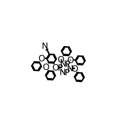 N#Cc1ccc(Op2npn(Oc3ccccc3)p(Oc3ccccc3)n2Oc2ccccc2)c(Oc2ccccc2)c1Oc1ccccc1